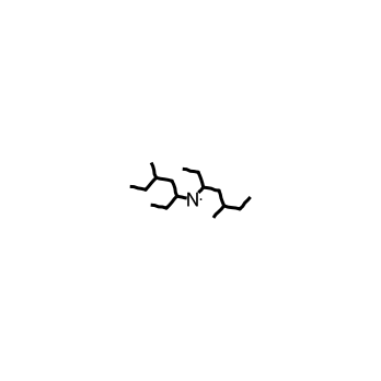 CCC(C)CC(CC)[N]C(CC)CC(C)CC